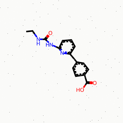 CCNC(=O)Nc1cccc(-c2ccc(C(=O)O)cc2)n1